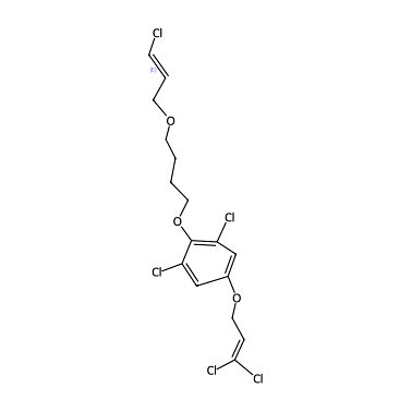 Cl/C=C/COCCCCOc1c(Cl)cc(OCC=C(Cl)Cl)cc1Cl